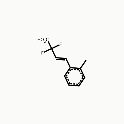 Cc1ccccc1C=CC(F)(F)C(=O)O